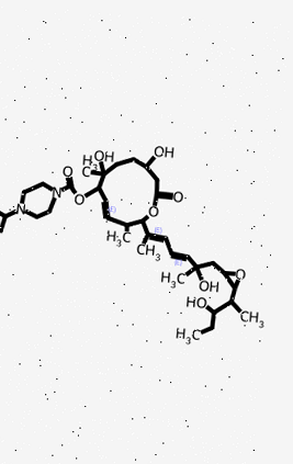 CCC(O)C(C)C1OC1CC(C)(O)/C=C/C=C(\C)C1OC(=O)CC(O)CCC(C)(O)C(OC(=O)N2CCN(C3CCC3)CC2)/C=C/C1C